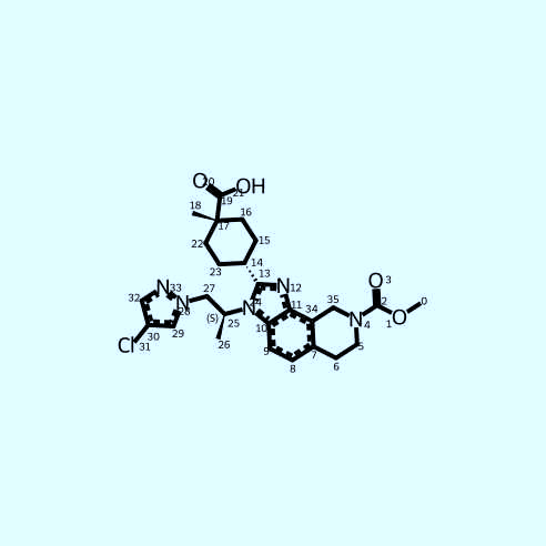 COC(=O)N1CCc2ccc3c(nc([C@H]4CC[C@@](C)(C(=O)O)CC4)n3[C@@H](C)Cn3cc(Cl)cn3)c2C1